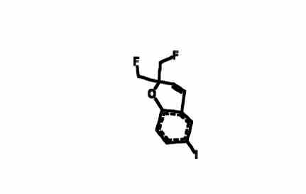 FCC1(CF)C=Cc2cc(I)ccc2O1